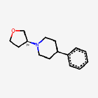 c1ccc(C2CCN([C@H]3CCOC3)CC2)cc1